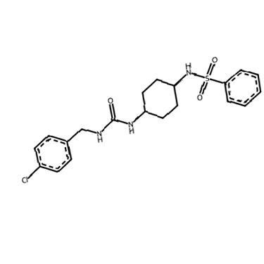 O=C(NCc1ccc(Cl)cc1)NC1CCC(NS(=O)(=O)c2ccccc2)CC1